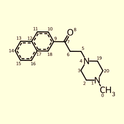 CN1CCN(CCC(=O)c2ccc3ccccc3c2)CC1